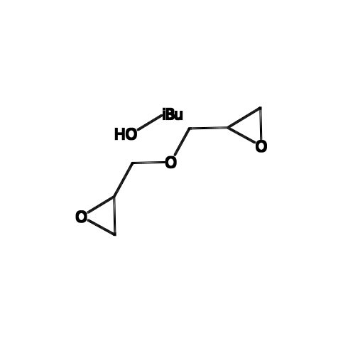 C(OCC1CO1)C1CO1.CCC(C)O